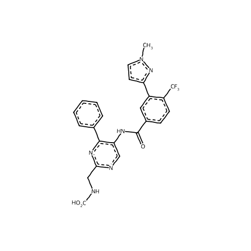 Cn1ccc(-c2cc(C(=O)Nc3cnc(CNC(=O)O)nc3-c3ccccc3)ccc2C(F)(F)F)n1